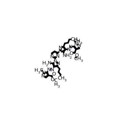 CCCCc1nn(-c2ccnc(-n3nc(CCCC)c(/N=N/c4c(C(=O)OC)cnn4C)c3N)n2)c(N)c1/N=N/c1c(C(=O)OC)cnn1C